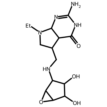 CCN1CC(CNC2C(O)C(O)C3OC23)C2C(=O)NC(N)=NC21